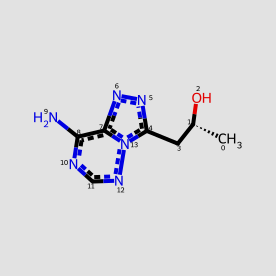 C[C@@H](O)Cc1nnc2c(N)ncnn12